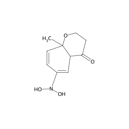 CC12C=CC(N(O)O)=CC1C(=O)CCO2